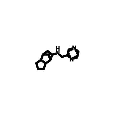 c1cnc(CNC2CC3CC2C2CCCC32)cn1